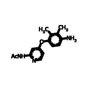 CC(=O)Nc1cc(Oc2ccc(N)c(C)c2C)ccn1